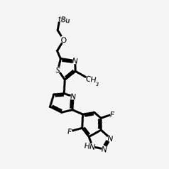 Cc1nc(COCC(C)(C)C)sc1-c1cccc(-c2cc(F)c3nn[nH]c3c2F)n1